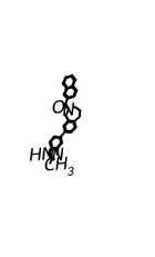 Cc1nc2cc(-c3ccc4c(c3)CN(C(=O)c3ccc5ccccc5c3)CCC4)ccc2[nH]1